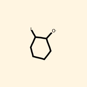 [O]C1CCCCC1I